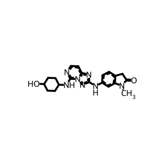 CN1C(=O)Cc2ccc(Nc3nc4ccnc(NC5CCC(O)CC5)n4n3)cc21